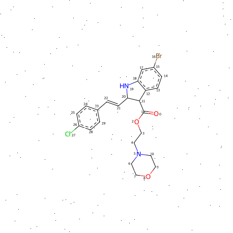 O=C(OCCN1CCOCC1)C1c2ccc(Br)cc2NC1/C=C/c1ccc(Cl)cc1